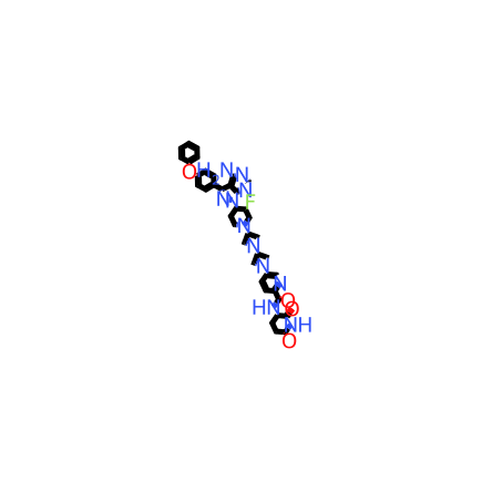 Nc1ncnc2c1c(-c1ccc(Oc3ccccc3)cc1)nn2[C@@H]1CCN(C2CN(C3CN(c4ccc(C(=O)NC5CCC(=O)NC5=O)nc4)C3)C2)C[C@H]1F